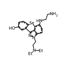 CCN(CC)CCn1nc2c3c(c(NCCN)ccc31)[Se]c1ccc(O)cc1-2